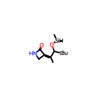 CC(=C1CNC1=O)C(O[SiH](C)C)C(C)(C)C